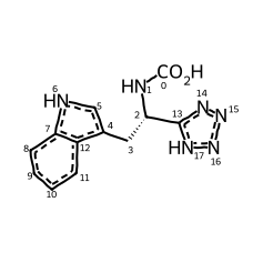 O=C(O)N[C@@H](Cc1c[nH]c2ccccc12)c1nnn[nH]1